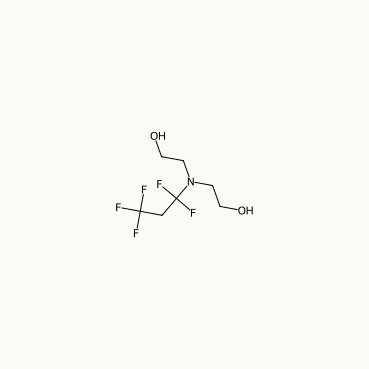 OCCN(CCO)C(F)(F)CC(F)(F)F